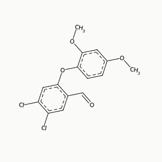 COc1ccc(Oc2cc(Cl)c(Cl)cc2C=O)c(OC)c1